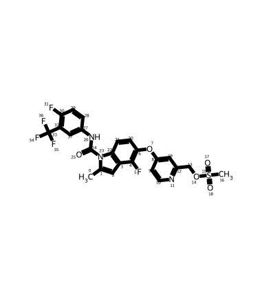 Cc1cc2c(F)c(Oc3ccnc(COS(C)(=O)=O)c3)ccc2n1C(=O)Nc1ccc(F)c(C(F)(F)F)c1